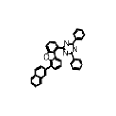 c1ccc(-c2nc(-c3ccccc3)nc(-c3cccc4oc5c(-c6ccc7ccccc7c6)cccc5c34)n2)cc1